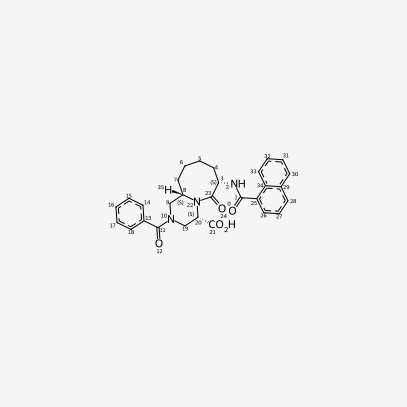 O=C(N[C@H]1CCCC[C@H]2CN(C(=O)c3ccccc3)C[C@@H](C(=O)O)N2C1=O)c1cccc2ccccc12